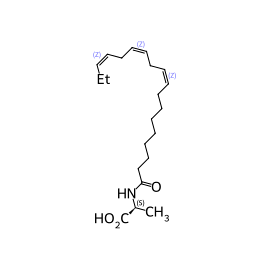 CC/C=C\C/C=C\C/C=C\CCCCCCCC(=O)N[C@@H](C)C(=O)O